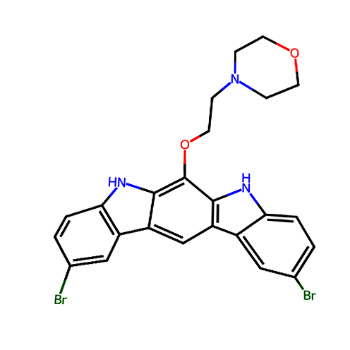 Brc1ccc2[nH]c3c(OCCN4CCOCC4)c4[nH]c5ccc(Br)cc5c4cc3c2c1